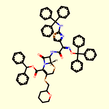 O=C(OC(c1ccccc1)c1ccccc1)C1=C(SCC2CCCCO2)CS[C@H]2C(NC(=O)/C(=N\OC(c3ccccc3)(c3ccccc3)c3ccccc3)c3csc(NC(c4ccccc4)(c4ccccc4)c4ccccc4)n3)C(=O)N12